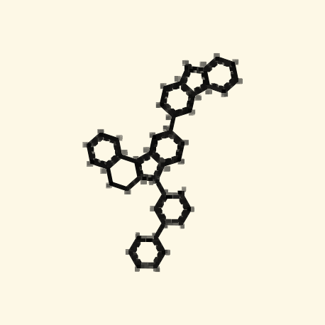 c1ccc(-c2ccnc(-n3c4c(c5cc(-c6ccc7oc8ccccc8c7c6)ccc53)-c3ccccc3CC4)c2)cc1